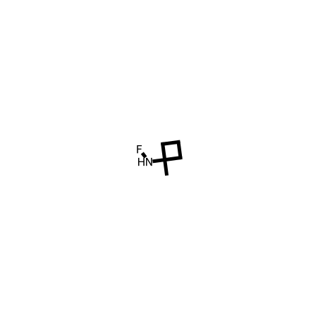 CC1(NF)CCC1